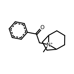 C[N+]1(CC(=O)c2ccccc2)C2CCCC1CC2